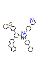 c1ccc(-c2ccc(-c3cc(-c4ccc(-c5cccnc5)cc4)nc(-c4cc(-c5ccc6sc7ccccc7c6c5)cc(-c5ccc6sc7ccccc7c6c5)c4)n3)cc2)cc1